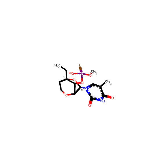 CC[C@]12CCOC(C1OP(O)(=S)OC)[C@H](n1cc(C)c(=O)[nH]c1=O)O2